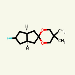 CC1(C)COC2(C[C@H]3CC(F)C[C@H]3C2)OC1